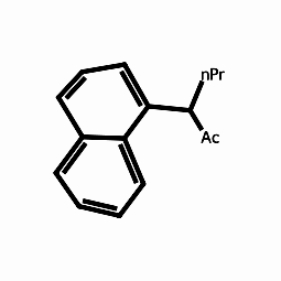 [CH2]CCC(C(C)=O)c1cccc2ccccc12